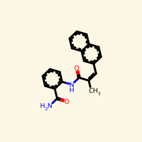 CC(=Cc1ccc2ccccc2c1)C(=O)Nc1ccccc1C(N)=O